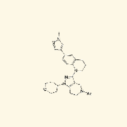 CC(=O)N1CCc2c(c(N3CCCc4cc(-c5cnn(C)c5)ccc43)nn2C2CCOCC2)C1